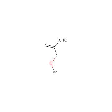 C=C(C=O)COC(C)=O